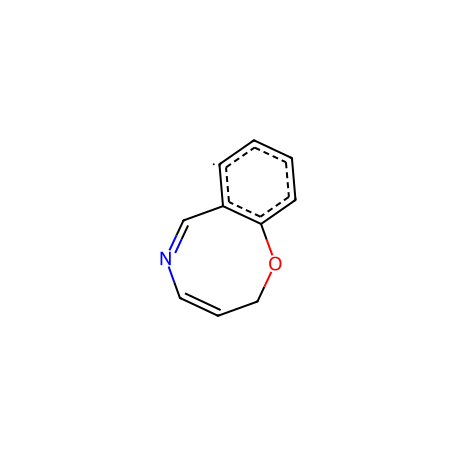 [c]1cccc2c1/C=N\C=C/CO2